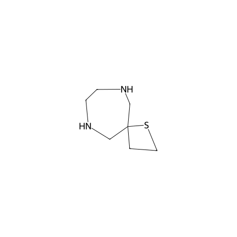 C1CNCC2(CCS2)CN1